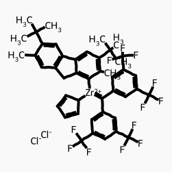 Cc1cc2c(cc1C(C)(C)C)-c1cc(C(C)(C)C)c(C)[c]([Zr+2](=[C](c3cc(C(F)(F)F)cc(C(F)(F)F)c3)c3cc(C(F)(F)F)cc(C(F)(F)F)c3)[CH]3C=CC=C3)c1C2.[Cl-].[Cl-]